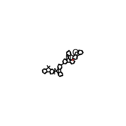 CC1(C)c2ccccc2-c2ccc(-n3c4ccccc4c4cc(-c5ccc6c(c5)c5ccccc5n6-c5ccccc5-c5cccc6c5oc5ccccc56)ccc43)cc21